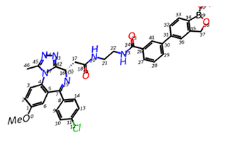 COc1ccc2c(c1)C(c1ccc(Cl)cc1)=N[C@@H](CC(=O)NCCNC(=O)c1cccc(-c3ccc4c(c3)COB4O)c1)c1nnc(C)n1-2